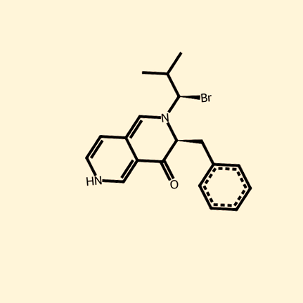 CC(C)[C@@H](Br)N1C=C2C=CNC=C2C(=O)[C@@H]1Cc1ccccc1